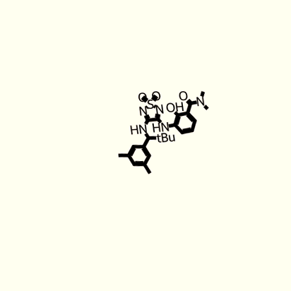 Cc1cc(C)cc(C(NC2=NS(=O)(=O)N=C2Nc2cccc(C(=O)N(C)C)c2O)C(C)(C)C)c1